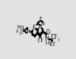 CCC(NC(=O)c1cn(-c2ncc(F)cc2F)c2nc(N3CC(O)(C(F)(F)F)C3)ccc2c1=O)C(F)(F)F